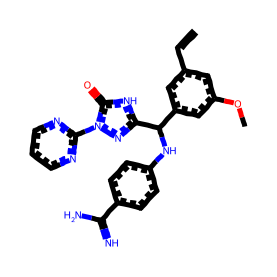 C=Cc1cc(OC)cc(C(Nc2ccc(C(=N)N)cc2)c2nn(-c3ncccn3)c(=O)[nH]2)c1